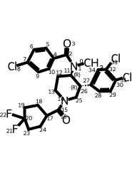 CN(C(=O)c1ccc(Cl)cc1)[C@@H]1CCN(C(=O)C2CCC(F)(F)CC2)C[C@H]1c1ccc(Cl)c(Cl)c1